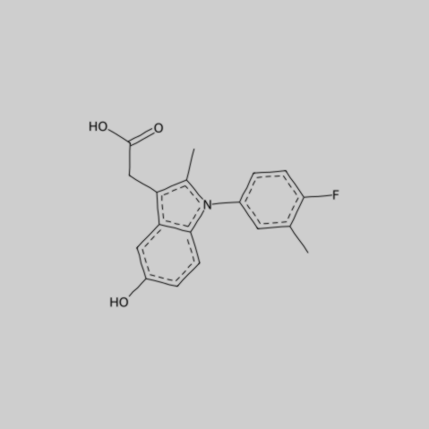 Cc1cc(-n2c(C)c(CC(=O)O)c3cc(O)ccc32)ccc1F